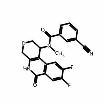 CN(C(=O)c1cccc(C#N)c1)C1COCc2[nH]c(=O)c3cc(F)c(F)cc3c21